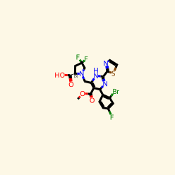 COC(=O)C1=C(CN2CC(F)(F)C[C@H]2C(=O)O)NC(c2nccs2)=NC1c1ccc(F)cc1Br